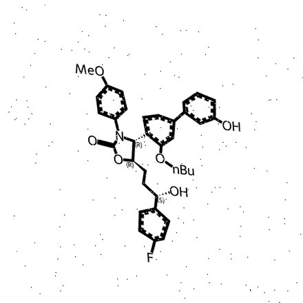 CCCCOc1cc(-c2cccc(O)c2)ccc1[C@@H]1[C@@H](CC[C@H](O)c2ccc(F)cc2)OC(=O)N1c1ccc(OC)cc1